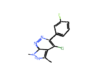 CC1=C2C(Cl)=C(c3cccc(F)c3)N=NC2N(C)N1